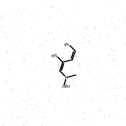 CCCCN(C)/C=C(S)\C=C/C(C)C